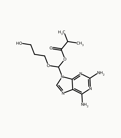 CC(C)C(=O)OC(OCCCO)n1cnc2c(N)nc(N)nc21